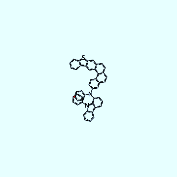 c1ccc(N(c2ccc3c(ccc4ccc5cc6sc7ccccc7c6cc5c43)c2)c2cccc3c4ccccc4n(-c4ccccc4)c23)cc1